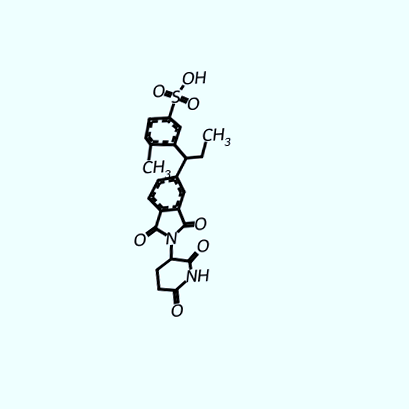 CCC(c1ccc2c(c1)C(=O)N(C1CCC(=O)NC1=O)C2=O)c1cc(S(=O)(=O)O)ccc1C